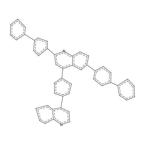 c1ccc(-c2ccc(-c3ccc4nc(-c5ccc(-c6ccccc6)cc5)cc(-c5ccc(-c6ccnc7ccccc67)cc5)c4c3)cc2)cc1